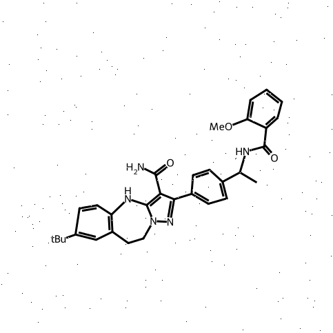 COc1ccccc1C(=O)NC(C)c1ccc(-c2nn3c(c2C(N)=O)Nc2ccc(C(C)(C)C)cc2CC3)cc1